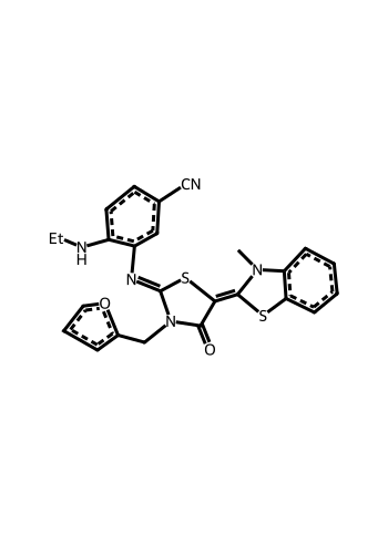 CCNc1ccc(C#N)cc1N=C1SC(=C2Sc3ccccc3N2C)C(=O)N1Cc1ccco1